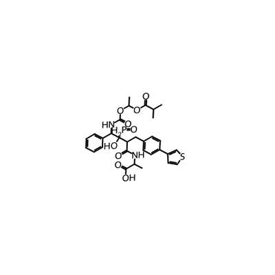 CC(OC(=O)NC(c1ccccc1)C(O)([PH2]=O)C(Cc1ccc(-c2ccsc2)cc1)C(=O)NC(C)C(=O)O)OC(=O)C(C)C